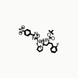 CC(C)(C)OC(=O)NC(CC(=O)N1CCC[C@H]1CNc1nc(-c2ccc(S(C)(=O)=O)cc2)no1)Cc1ccccc1F